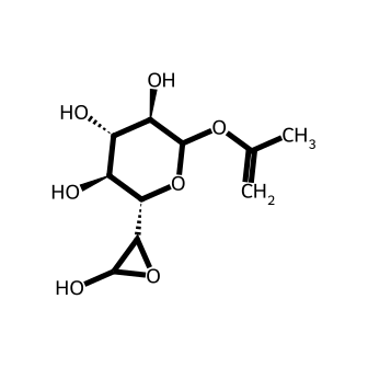 C=C(C)OC1O[C@H](C2OC2O)[C@@H](O)[C@H](O)[C@H]1O